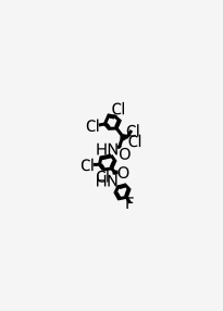 O=C(Nc1ccc(F)cc1)c1cc(NC(=O)C2C(c3cc(Cl)cc(Cl)c3)C2(Cl)Cl)cc(Cl)c1Cl